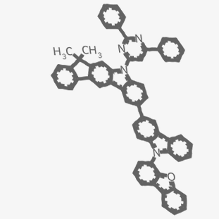 CC1(C)c2ccccc2-c2cc3c4cc(-c5ccc6c(c5)c5ccccc5n6-c5cccc6c5oc5ccccc56)ccc4n(-c4cc(-c5ccccc5)nc(-c5ccccc5)n4)c3cc21